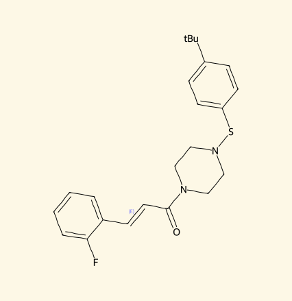 CC(C)(C)c1ccc(SN2CCN(C(=O)/C=C/c3ccccc3F)CC2)cc1